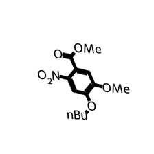 CCCCOc1cc([N+](=O)[O-])c(C(=O)OC)cc1OC